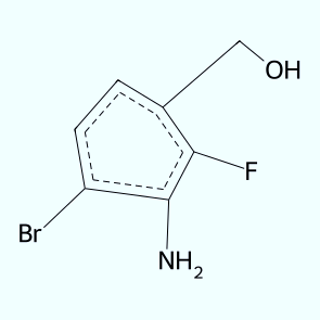 Nc1c(Br)ccc(CO)c1F